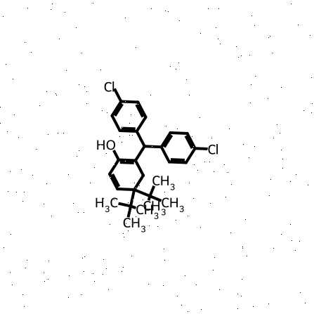 CC(C)(C)C1(C(C)(C)C)C=CC(O)=C(C(c2ccc(Cl)cc2)c2ccc(Cl)cc2)C1